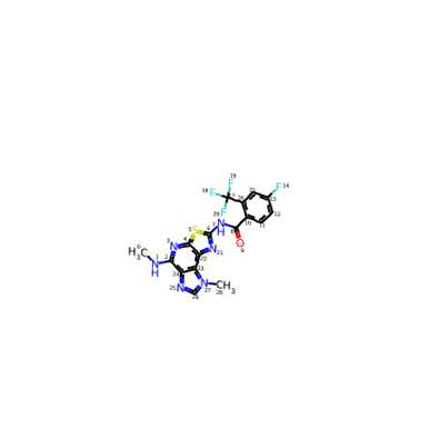 CNc1nc2sc(NC(=O)c3ccc(F)cc3C(F)(F)F)nc2c2c1ncn2C